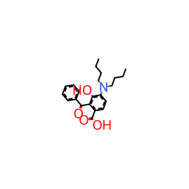 CCCCN(CCCC)c1ccc(C(=O)O)c(C(=O)c2ccccc2)c1O